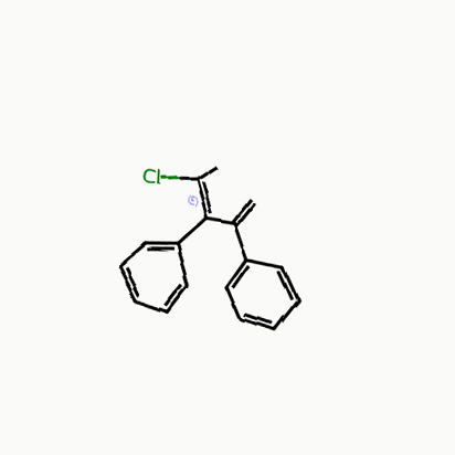 C=C(/C(=C(\C)Cl)c1ccccc1)c1ccccc1